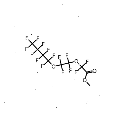 COC(=O)C(F)(F)OC(F)(F)C(F)(F)OC(F)(F)C(F)(F)C(F)(F)C(F)(F)F